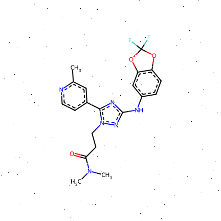 Cc1cc(-c2nc(Nc3ccc4c(c3)OC(F)(F)O4)nn2CCC(=O)N(C)C)ccn1